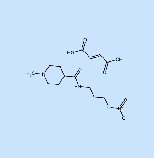 CN1CCC(C(=O)NCCCO[N+](=O)[O-])CC1.O=C(O)C=CC(=O)O